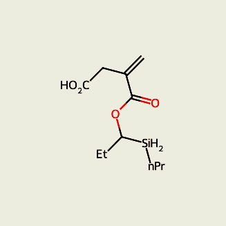 C=C(CC(=O)O)C(=O)OC(CC)[SiH2]CCC